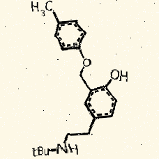 Cc1ccc(OCc2cc([CH]CNC(C)(C)C)ccc2O)cc1